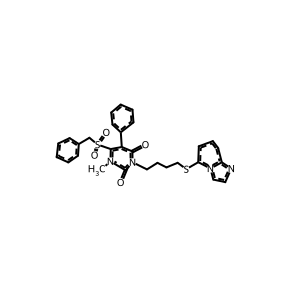 Cn1c(S(=O)(=O)Cc2ccccc2)c(-c2ccccc2)c(=O)n(CCCCSc2cccc3nccn23)c1=O